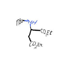 CCCCNC(CC(=O)OCC)C(=O)OCC